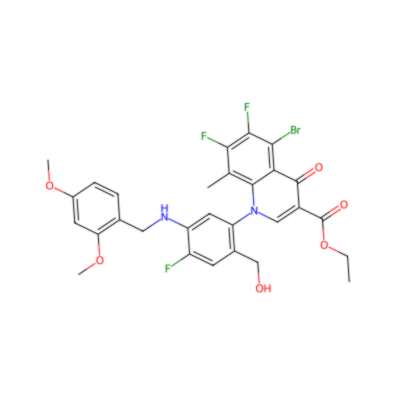 CCOC(=O)c1cn(-c2cc(NCc3ccc(OC)cc3OC)c(F)cc2CO)c2c(C)c(F)c(F)c(Br)c2c1=O